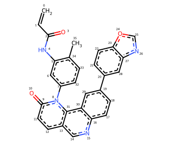 C=CC(=O)Nc1cc(-n2c(=O)ccc3cnc4ccc(-c5ccc6ocnc6c5)cc4c32)ccc1C